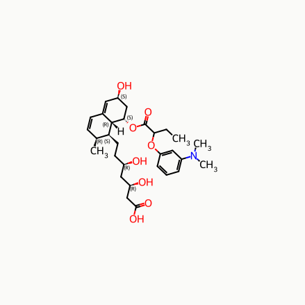 CCC(Oc1cccc(N(C)C)c1)C(=O)O[C@H]1C[C@H](O)C=C2C=C[C@H](C)[C@H](CC[C@@H](O)C[C@@H](O)CC(=O)O)[C@H]21